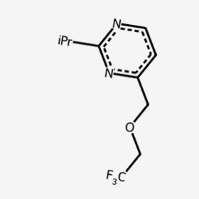 CC(C)c1nccc(COCC(F)(F)F)n1